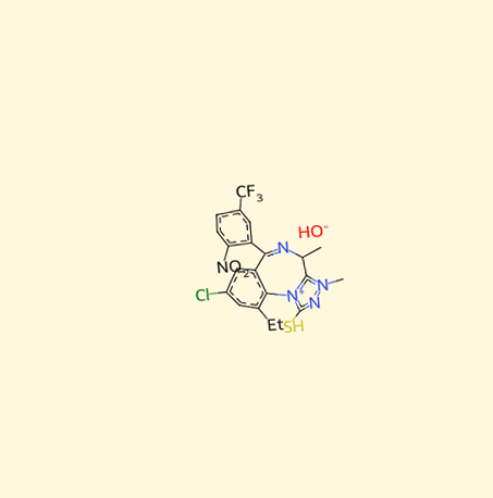 CCc1cc(Cl)cc2c1-[n+]1c(S)nn(C)c1C(C)N=C2c1cc(C(F)(F)F)ccc1[N+](=O)[O-].[OH-]